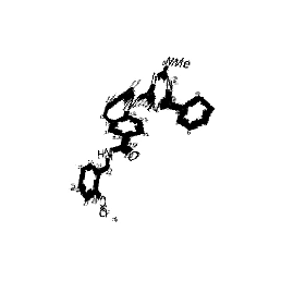 CNc1nc(-c2ccccc2)nc(N2CCCc3cc(C(=O)NCc4ccccc4OC(F)(F)F)ccc32)n1